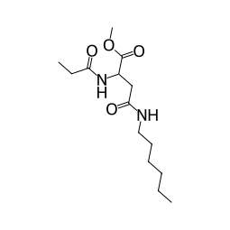 CCCCCCNC(=O)CC(NC(=O)CC)C(=O)OC